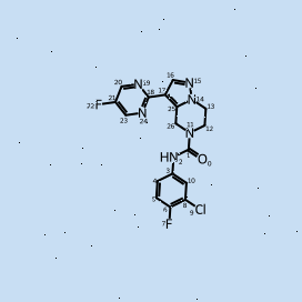 O=C(Nc1ccc(F)c(Cl)c1)N1CCn2ncc(-c3ncc(F)cn3)c2C1